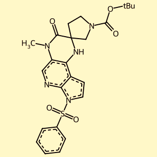 CN1C(=O)C2(CCN(C(=O)OC(C)(C)C)C2)Nc2c1cnc1c2ccn1S(=O)(=O)c1ccccc1